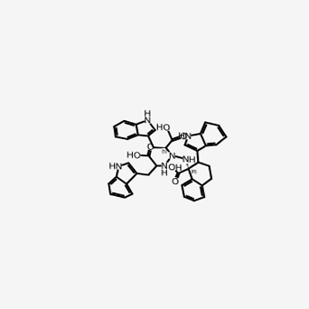 O=C(O)C(Cc1c[nH]c2ccccc12)NN(N[C@@]1(C(=O)O)c2ccccc2CCC1c1c[nH]c2ccccc12)[C@@H](Cc1c[nH]c2ccccc12)C(=O)O